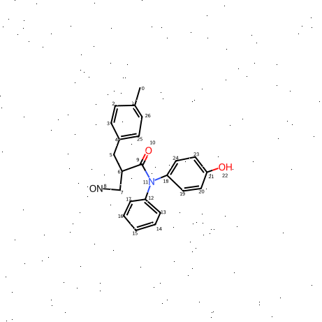 Cc1ccc(CC(CN=O)C(=O)N(c2ccccc2)c2ccc(O)cc2)cc1